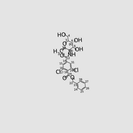 C[C@H]1OC(CO)[C@H](O)C(O)[C@H]1NC(=O)c1cc(Cl)c(C(=O)OCc2ccccc2)c(Cl)c1